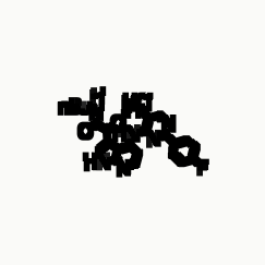 CCCCNC(=O)C(=O)c1c[nH]c2nccc(Nc3nc(-c4ccc(F)cc4)ncc3C(C)C)c12.Cl